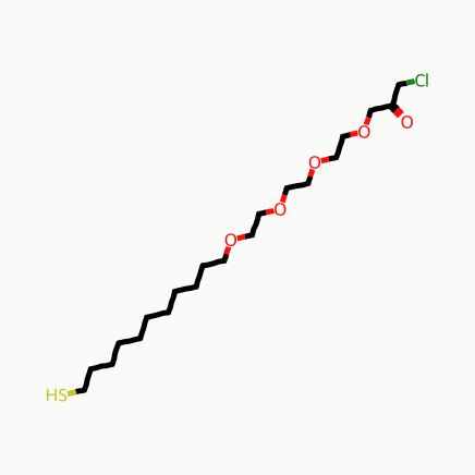 O=C(CCl)COCCOCCOCCOCCCCCCCCCCCS